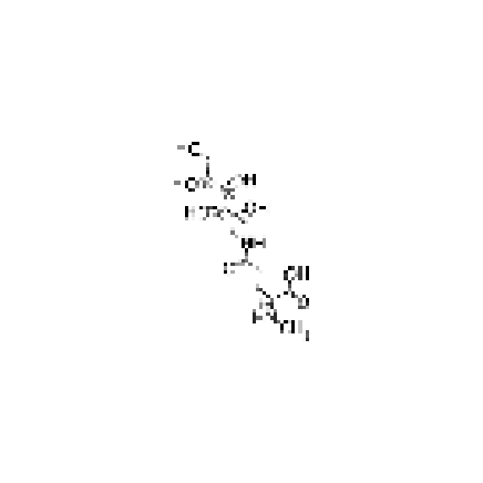 CN[C@@H](CCC(=O)NC[C@H](O)[C@@H](O)[C@H](O)[C@H](O)CO)C(=O)O